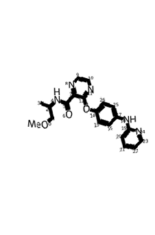 COCC(C)NC(=O)c1nccnc1Oc1ccc(Nc2ccccn2)cc1